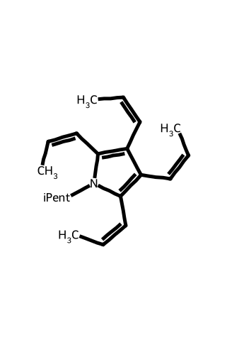 C/C=C\c1c(/C=C\C)c(/C=C\C)n(C(C)CCC)c1/C=C\C